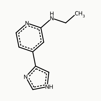 CCNc1cc(-c2c[nH]cn2)ccn1